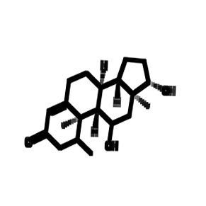 CC1CC(=O)C=C2CC[C@H]3[C@@H]4CC[C@H](O)[C@@]4(C)CC(O)[C@@H]3[C@]21C